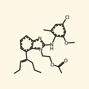 CC/C=C(\CCC)c1cccc2nc(Nc3c(C)cc(Cl)cc3OC)n(CCOC(C)=O)c12